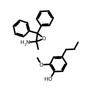 CC1(N)OC1(c1ccccc1)c1ccccc1.CCCc1ccc(O)c(OC)c1